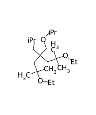 CCOC(C)(C)CC(COC(C)C)(CC(C)C)CC(C)(C)OCC